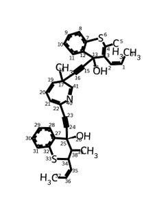 C/C=C\C1=C(C)Sc2ccccc2C1(O)C#CC1(C)C=CC=C(C#C[C@@]2(O)c3ccccc3SC(/C=C\C)C2C)N=C1